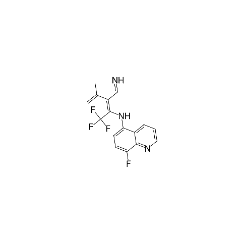 C=C(C)/C(C=N)=C(/Nc1ccc(F)c2ncccc12)C(F)(F)F